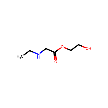 CCNCC(=O)OCCO